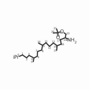 CC(C)CCCC(C)CCCC(C)CCCC(C)CC1OC(C)(C)OCC1N